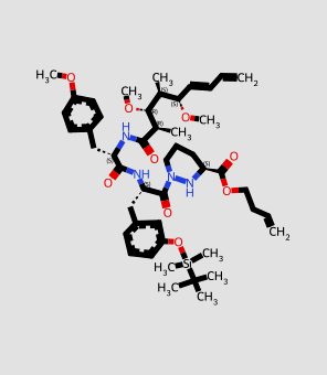 C=CC=C[C@H](OC)[C@H](C)[C@@H](OC)[C@@H](C)C(=O)N[C@@H](Cc1ccc(OC)cc1)C(=O)N[C@@H](Cc1cccc(O[Si](C)(C)C(C)(C)C)c1)C(=O)N1CCC[C@@H](C(=O)OCCC=C)N1